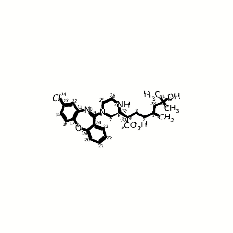 CC(CC[C@@H](C(=O)O)[C@H]1CN(C2=Nc3cc(Cl)ccc3Oc3ccccc32)CCN1)CC(C)(C)O